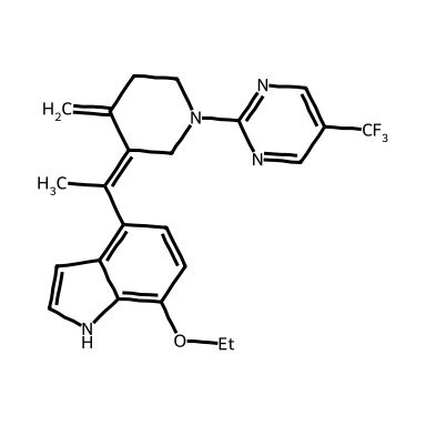 C=C1CCN(c2ncc(C(F)(F)F)cn2)C/C1=C(/C)c1ccc(OCC)c2[nH]ccc12